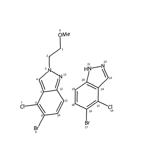 COCCn1cc2c(Cl)c(Br)ccc2n1.Clc1c(Br)ccc2[nH]ncc12